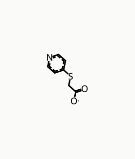 [O]C(=O)CSc1ccncc1